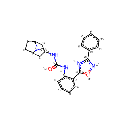 CN1C2CCC1CC(NC(=O)Nc1ccccc1-c1nc(-c3ccccc3)no1)C2